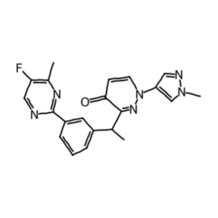 Cc1nc(-c2cccc(C(C)c3nn(-c4cnn(C)c4)ccc3=O)c2)ncc1F